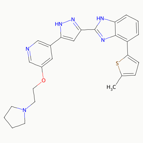 Cc1ccc(-c2cccc3[nH]c(-c4cc(-c5cncc(OCCN6CCCC6)c5)[nH]n4)nc23)s1